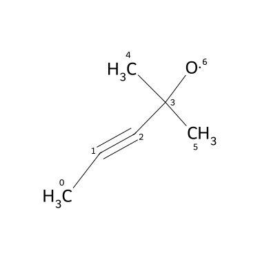 CC#CC(C)(C)[O]